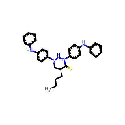 CCCC[C@H]1CN(c2ccc(Nc3ccccc3)cc2)NN(c2ccc(Nc3ccccc3)cc2)C1=S